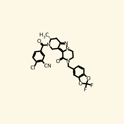 C[C@@H]1Cc2nn3c(c2CN1C(=O)c1ccc(Cl)c(C#N)c1)C(=O)N(Cc1ccc2c(c1)OC(F)(F)O2)CC3